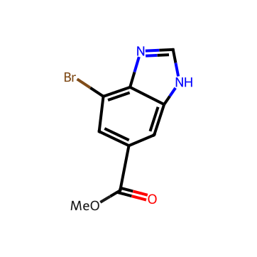 COC(=O)c1cc(Br)c2nc[nH]c2c1